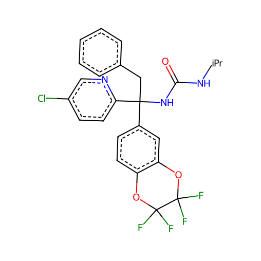 CC(C)NC(=O)NC(Cc1ccccc1)(c1ccc2c(c1)OC(F)(F)C(F)(F)O2)c1ccc(Cl)cn1